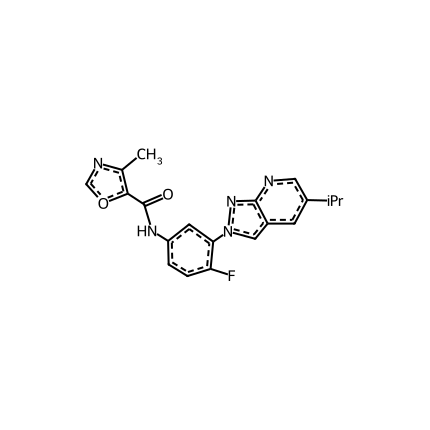 Cc1ncoc1C(=O)Nc1ccc(F)c(-n2cc3cc(C(C)C)cnc3n2)c1